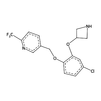 FC(F)(F)c1ccc(COc2ccc(Cl)cc2OC2CNC2)cn1